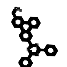 C=Cc1ccc2c3ccc(-c4nc(-c5ccccc5)nc(-c5ccccc5)n4)cc3c3ccccc3c2c1